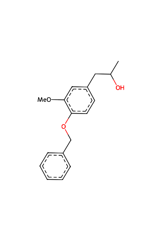 COc1cc(CC(C)O)ccc1OCc1ccccc1